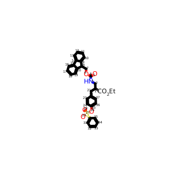 CCOC(=O)C(CNC(=O)OCC1c2ccccc2-c2ccccc21)Cc1ccc(OS(=O)(=O)c2ccccc2)cc1